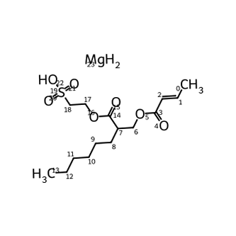 CC=CC(=O)OCC(CCCCCC)C(=O)OCCS(=O)(=O)O.[MgH2]